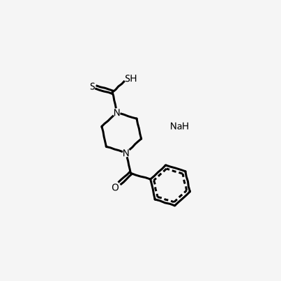 O=C(c1ccccc1)N1CCN(C(=S)S)CC1.[NaH]